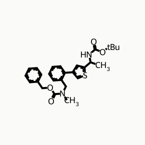 CC(NC(=O)OC(C)(C)C)c1cc(-c2ccccc2CN(C)C(=O)OCc2ccccc2)cs1